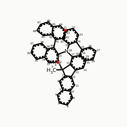 CC1(C)c2cc3ccccc3cc2-c2cccc(N(c3ccccc3-c3ccccc3)c3ccc4ccccc4c3-c3cccc4ccccc34)c21